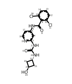 O=C(Nc1cc(NC(=O)c2c(Cl)cccc2Cl)ccn1)N[C@H]1C[C@H](O)C1